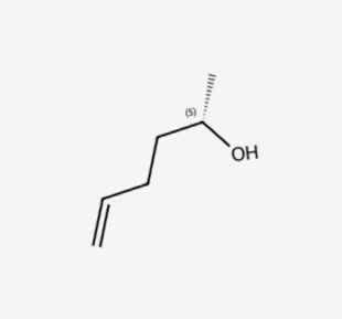 C=CCC[C@H](C)O